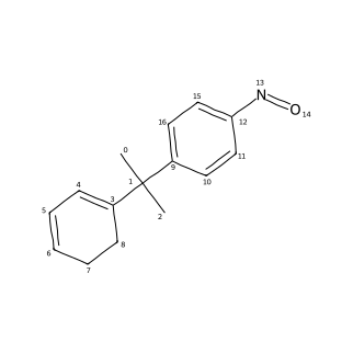 CC(C)(C1=CC=CCC1)c1ccc(N=O)cc1